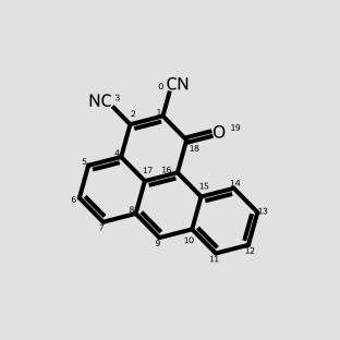 N#CC1=C(C#N)c2cccc3cc4ccccc4c(c23)C1=O